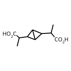 CC(C(=O)O)C1C2C(C(C)C(=O)O)C12